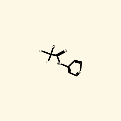 O=C(Nc1ccncc1)C(Cl)(Cl)Cl